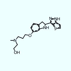 CN(CCO)CCCOc1ccc2c(c1)NC(c1n[nH]c3ccsc13)C2